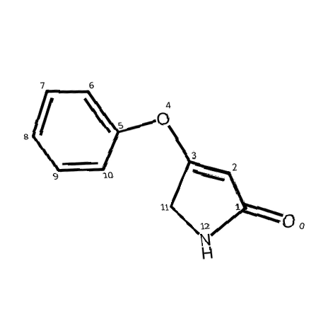 O=C1C=C(Oc2ccccc2)CN1